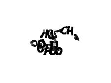 CC#CCC[C@H](O)C=C[C@@H]1[C@H]2CC(=O)O[C@H]2C[C@H]1OC(=O)c1ccccc1